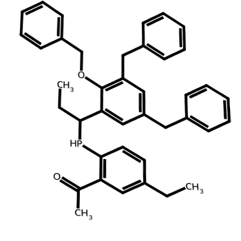 CCc1ccc(PC(CC)c2cc(Cc3ccccc3)cc(Cc3ccccc3)c2OCc2ccccc2)c(C(C)=O)c1